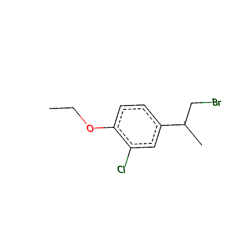 CCOc1ccc([C](C)CBr)cc1Cl